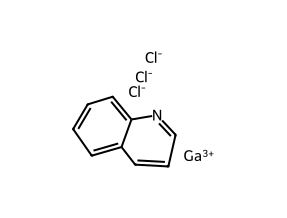 [Cl-].[Cl-].[Cl-].[Ga+3].c1ccc2ncccc2c1